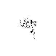 CCCCOC(=O)OCC(C)C(c1ccc(OC(=O)OC(C)CCC)c(OC(=O)OC(C)CCC)c1)[C@H](N)C(=O)O